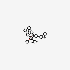 CC(C)CC(c1ccc(-c2ccc3c(c2)C2(c4ccccc4-3)c3ccccc3-c3ccc(N(c4ccc(-c5ccccc5)cc4)c4ccc(-c5ccc6c(c5)-c5ccccc5C6(C)C)cc4)cc32)cc1)C(C)C